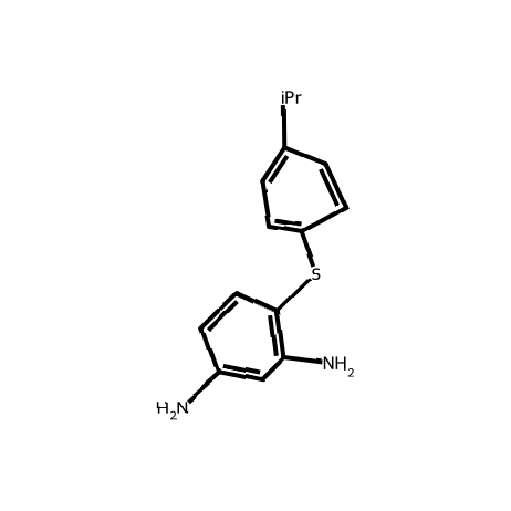 CC(C)c1ccc(Sc2ccc(N)cc2N)cc1